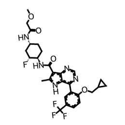 COCC(=O)N[C@@H]1CC[C@@H](NC(=O)c2c(C)[nH]c3c(-c4cc(C(F)(F)F)ccc4OCC4CC4)ncnc23)[C@H](F)C1